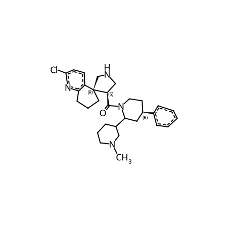 CN1CCCC(C2C[C@H](c3ccccc3)CCN2C(=O)[C@@H]2CNC[C@]23CCCc2nc(Cl)ccc23)C1